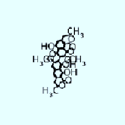 COC1=C(c2c(OC)cc3cc4c(c(O)c3c2O)C(=O)OC(C)C4)C(=O)c2c(O)cc3c(c2C1=O)C(=O)OC(C)C3